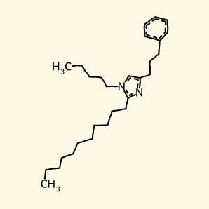 CCCCCCCCCCCc1nc(CCCc2ccccc2)cn1CCCCC